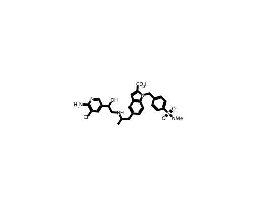 CNS(=O)(=O)c1ccc(Cn2c(C(=O)O)cc3cc(CC(C)NCC(O)c4cnc(N)c(Cl)c4)ccc32)cc1